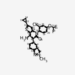 Cn1cc2cc(-c3c(N)c4sc(C5CC5)cc4n(-c4ccc(OC(F)F)cc4Cl)c3=O)ccc2n1